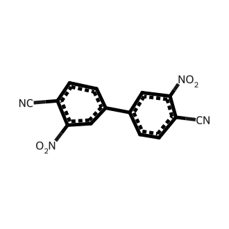 N#Cc1ccc(-c2ccc(C#N)c([N+](=O)[O-])c2)cc1[N+](=O)[O-]